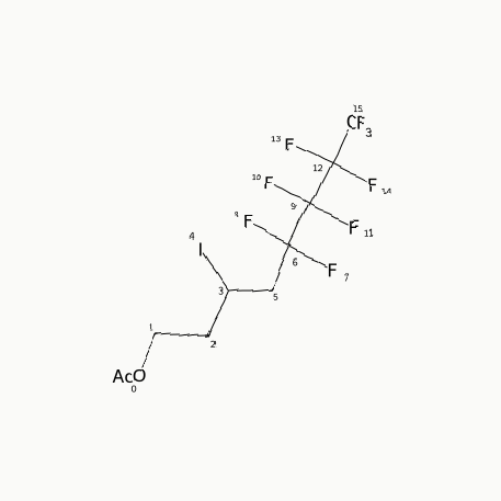 CC(=O)OCCC(I)CC(F)(F)C(F)(F)C(F)(F)C(F)(F)F